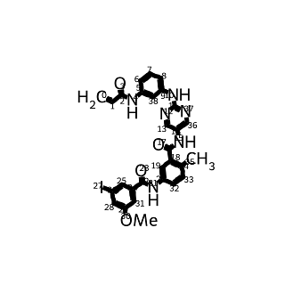 C=CC(=O)Nc1cccc(Nc2ncc(NC(=O)c3cc(NC(=O)c4cc(I)cc(OC)c4)ccc3C)cn2)c1